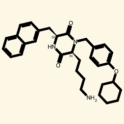 NCCCC[C@H]1C(=O)N[C@@H](Cc2ccc3ccccc3c2)C(=O)N1Cc1ccc(OC2CCCCC2)cc1